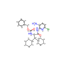 Nc1ccc(Br)nc1NC(=O)C(NC(=O)OCc1ccccc1)C(C1CCCCC1)C1CCCCC1